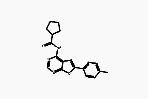 Cc1ccc(-c2cc3c(NC(=O)C4CCCC4)ncnc3o2)cc1